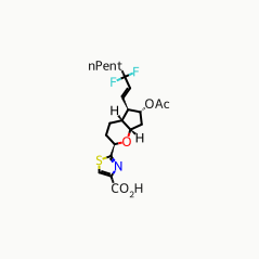 CCCCCC(F)(F)/C=C/[C@@H]1[C@H]2CC[C@H](c3nc(C(=O)O)cs3)O[C@H]2C[C@H]1OC(C)=O